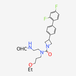 CCOCCCN(CCNC=O)C(=O)N1CC(c2ccc(-c3ccc(F)cc3F)cc2)C1